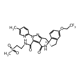 Cc1ccc(-n2nc3c(c2C(=O)NCCS(C)(=O)=O)C(=O)N[C@@]2(CCc4cc(OCC(F)(F)F)ccc42)C3)nc1